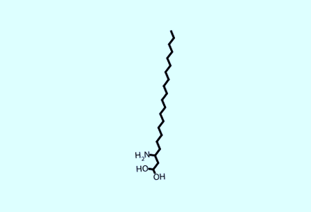 CCCCCCCCCCCCCCCCCCC(N)CC(O)O